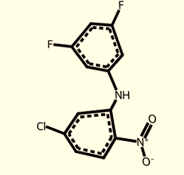 O=[N+]([O-])c1ccc(Cl)cc1Nc1cc(F)cc(F)c1